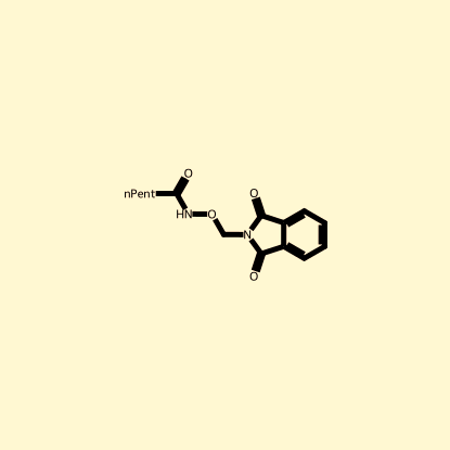 CCCCCC(=O)NOCN1C(=O)c2ccccc2C1=O